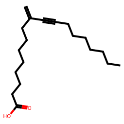 C=C(C#CCCCCCCC)CCCCCCCC(=O)O